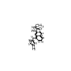 CNC(=O)Nc1ccc2cccc(Cc3c[nH]cn3)c2c1